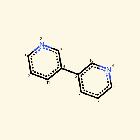 [c]1cncc(-c2cccnc2)c1